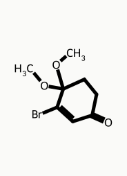 COC1(OC)CCC(=O)C=C1Br